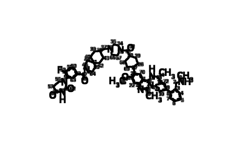 CNCc1ccccc1-c1csc([C@@H](C)Nc2nc(C)nc3cc(OC)c(C4CCC(C(=O)N5CCN(CC6CCC7(CC6)CCN(C(=O)c6ccc(F)c(N8CCC(=O)NC8=O)c6)CC7)CC5)CC4)cc23)c1